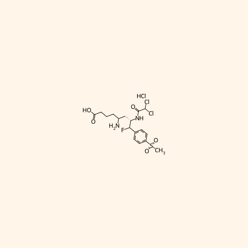 CS(=O)(=O)c1ccc(C(F)[C@H](CC(N)CCCC(=O)O)NC(=O)C(Cl)Cl)cc1.Cl